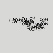 NC(=O)OCCSSC[C@@H](NC(=O)[C@@H](Cc1ccccc1)NC(=O)[C@H](CC(=O)O)NC(=O)CC[C@H](NC(=O)CC[C@H](NC(=O)N[C@@H](CCC(=O)O)C(=O)O)C(=O)O)C(=O)O)C(=O)O